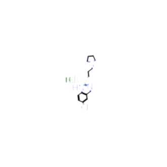 Cl.Cl.Clc1ccc2c(c1)CN=C(SCCCN1CCCC1)N2